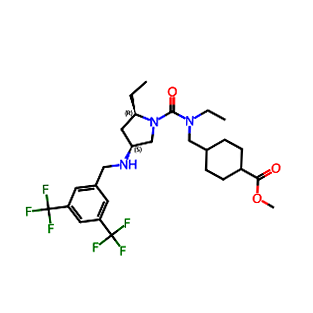 CC[C@@H]1C[C@H](NCc2cc(C(F)(F)F)cc(C(F)(F)F)c2)CN1C(=O)N(CC)CC1CCC(C(=O)OC)CC1